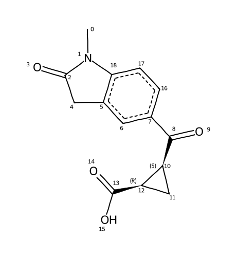 CN1C(=O)Cc2cc(C(=O)[C@H]3C[C@H]3C(=O)O)ccc21